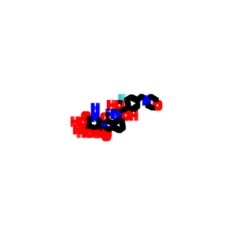 O=C1c2cccc(NC(O)(O)c3ccc(CN4CCOCC4)cc3F)c2CN1C1(O)C(=O)NC(=O)C(O)(O)C1(O)O